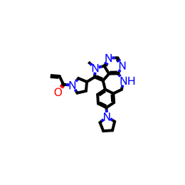 C=CC(=O)N1CCC(c2c3c4c(ncnc4n2C)NCc2cc(N4CCCC4)ccc2-3)C1